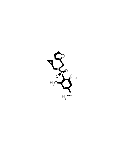 COc1cc(C)c(S(=O)(=O)N(Cc2ccco2)CC2CC2)c(C)c1